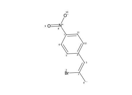 [CH2]C(Br)=Cc1ccc([N+](=O)[O-])cc1